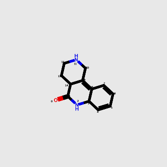 O=C1NC2C=CC=CC2=C2CNCCC12